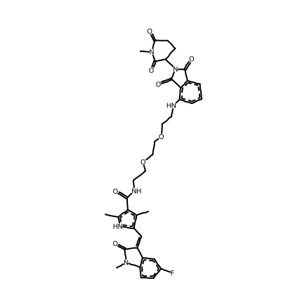 Cc1[nH]c(/C=C2\C(=O)N(C)c3ccc(F)cc32)c(C)c1C(=O)NCCOCCOCCNc1cccc2c1C(=O)N(C1CCC(=O)N(C)C1=O)C2=O